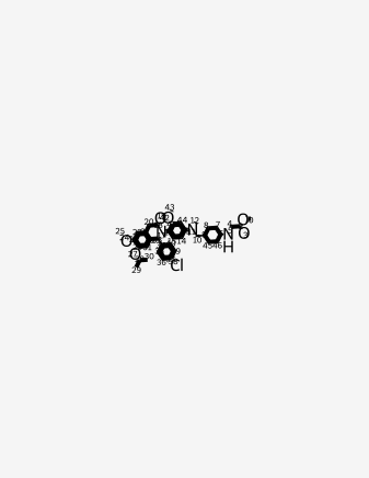 COC(=O)CN[C@H]1CC[C@H](CN(C)c2ccc(N3C(=O)Cc4cc(OC)c(OC(C)C)cc4[C@@H]3c3ccc(Cl)cc3)c(OC)c2)CC1